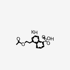 CC(=O)OCCc1cccc2c(S(=O)(=O)O)cccc12.[KH]